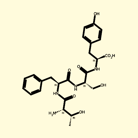 C[C@@H](O)[C@H](N)C(=O)N[C@@H](Cc1ccccc1)C(=O)N[C@@H](CO)C(=O)N[C@@H](Cc1ccc(O)cc1)C(=O)O